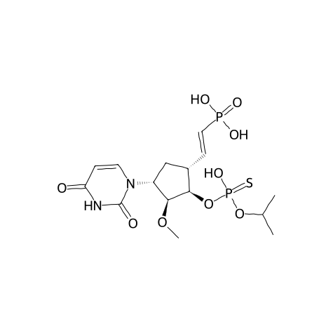 CO[C@@H]1[C@H](OP(O)(=S)OC(C)C)[C@@H](/C=C/P(=O)(O)O)C[C@H]1n1ccc(=O)[nH]c1=O